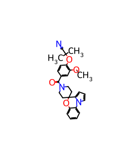 COc1cc(C(=O)N2CCC3(CC2)Oc2ccccc2-n2cccc23)ccc1OC(C)(C)C#N